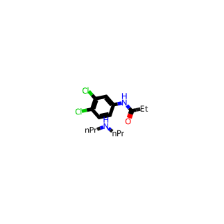 CCC(=O)Nc1ccc(Cl)c(Cl)c1.CCCNCCC